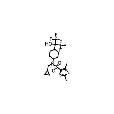 Cc1nc(C)c(S(=O)(=O)N(CC2CC2)C2CCC(C(O)(C(F)(F)F)C(F)(F)F)CC2)s1